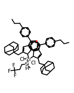 CCCc1ccc(-c2cccc3c2C=C(CC24CC5CC(CC(C5)C2)C4)[CH]3[Zr]([Cl])([Cl])([CH]2C(CC34CC5CC(CC(C5)C3)C4)=Cc3c(-c4ccc(CCC)cc4)cccc32)[SiH](C)CCC(F)(F)F)cc1